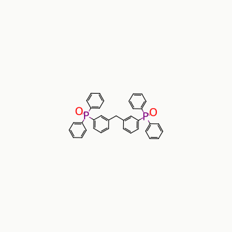 O=P(c1ccccc1)(c1ccccc1)c1cccc(Cc2cccc(P(=O)(c3ccccc3)c3ccccc3)c2)c1